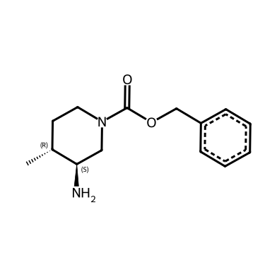 C[C@@H]1CCN(C(=O)OCc2ccccc2)C[C@H]1N